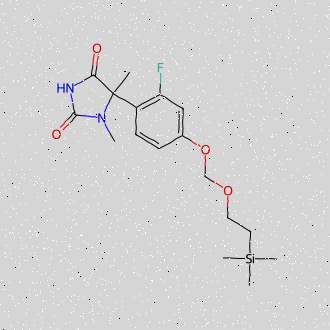 CN1C(=O)NC(=O)C1(C)c1ccc(OCOCC[Si](C)(C)C)cc1F